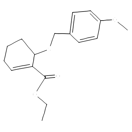 CCOC(=O)C1=CCCCC1SCc1ccc(OC)cc1